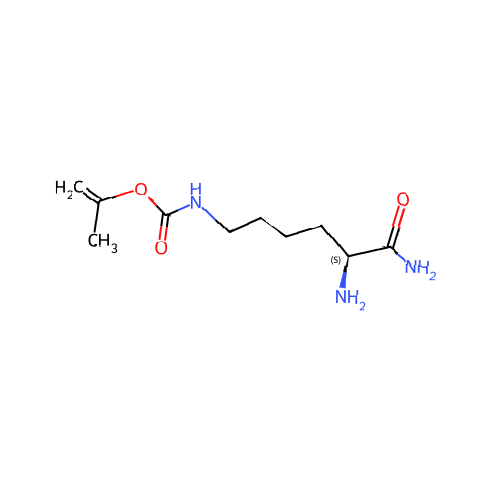 C=C(C)OC(=O)NCCCC[C@H](N)C(N)=O